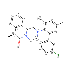 Cc1ccc(N2CCN(C(=O)[C@@H](C)c3ccccc3)C[C@H]2c2ccc(Cl)cc2)c(C#N)c1